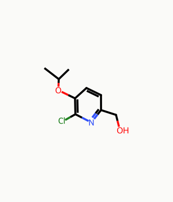 CC(C)Oc1ccc(CO)nc1Cl